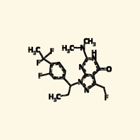 CCC(c1ccc(C(C)(F)F)c(F)c1)n1nc(CF)c2c(=O)[nH]c(N(C)C)nc21